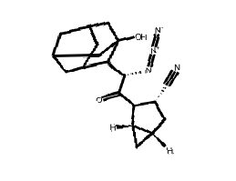 N#C[C@@H]1C[C@@H]2C[C@@H]2C1C(=O)[C@@H](N=[N+]=[N-])C1C2CC3CC(C2)CC1(O)C3